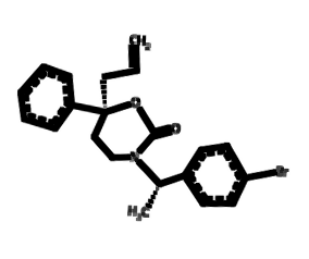 C=CC[C@@]1(c2ccccc2)CCN([C@@H](C)c2ccc(Br)cc2)C(=O)O1